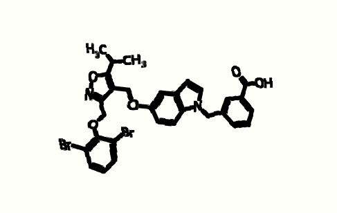 CC(C)c1onc(COc2c(Br)cccc2Br)c1COc1ccc2c(ccn2Cc2cccc(C(=O)O)c2)c1